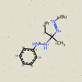 CC(C)CC(C)(N=NC(C)(C)C)NNc1ccccc1